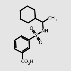 CC(NS(=O)(=O)c1cccc(C(=O)O)c1)C1CCCCC1